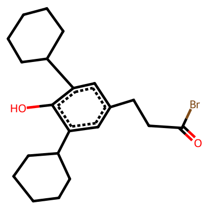 O=C(Br)CCc1cc(C2CCCCC2)c(O)c(C2CCCCC2)c1